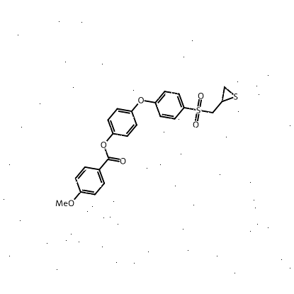 COc1ccc(C(=O)Oc2ccc(Oc3ccc(S(=O)(=O)CC4CS4)cc3)cc2)cc1